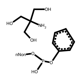 CCCCCCCCCOP(O)Oc1ccccc1.NC(CO)(CO)CO